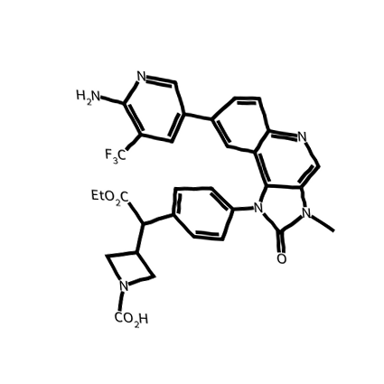 CCOC(=O)C(c1ccc(-n2c(=O)n(C)c3cnc4ccc(-c5cnc(N)c(C(F)(F)F)c5)cc4c32)cc1)C1CN(C(=O)O)C1